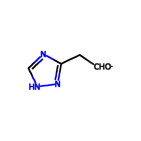 O=[C]Cc1nc[nH]n1